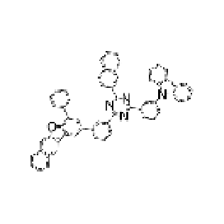 c1ccc(-c2cc(-c3cccc(-c4nc(-c5cccc(-n6c7ccccc7c7ccccc76)c5)nc(-c5ccc6ccccc6c5)n4)c3)cc3c2oc2cc4ccccc4cc23)cc1